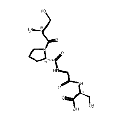 N[C@@H](CO)C(=O)N1CCC[C@H]1C(=O)NCC(=O)N[C@@H](CO)C(=O)O